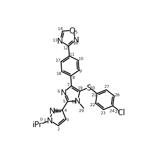 CC(C)n1ccc(-c2nc(-c3ccc(-c4ncon4)cc3)c(Sc3ccc(Cl)cc3)n2C)n1